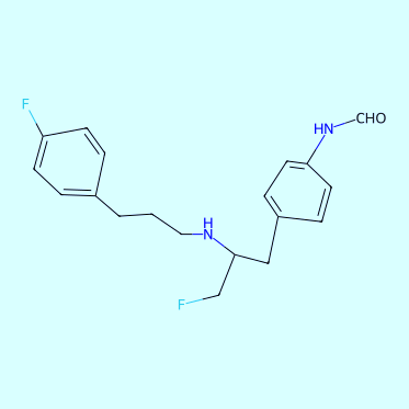 O=CNc1ccc(CC(CF)NCCCc2ccc(F)cc2)cc1